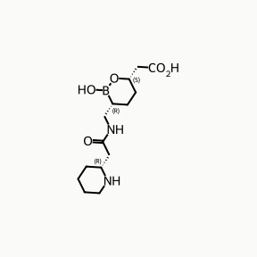 O=C(O)C[C@@H]1CC[C@H](CNC(=O)C[C@H]2CCCCN2)B(O)O1